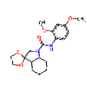 COc1ccc(NC(=O)NCC2(C3CCCCC3)OCCO2)c(OC)c1